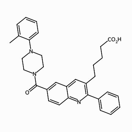 Cc1ccccc1N1CCN(C(=O)c2ccc3nc(-c4ccccc4)c(CCCCC(=O)O)cc3c2)CC1